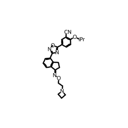 CC(C)Oc1ccc(-c2nc(-c3cccc4c3CCC4=NOCCN3CCC3)no2)cc1C#N